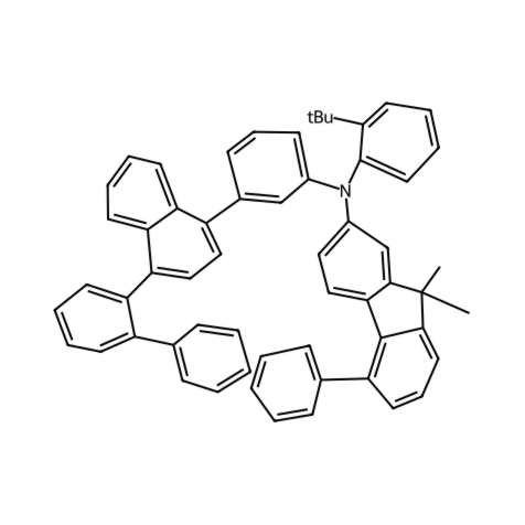 CC(C)(C)c1ccccc1N(c1cccc(-c2ccc(-c3ccccc3-c3ccccc3)c3ccccc23)c1)c1ccc2c(c1)C(C)(C)c1cccc(-c3ccccc3)c1-2